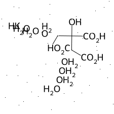 O.O.O.O.O.O.O.O=C(O)CC(O)(CC(=O)O)C(=O)O.[KH]